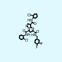 O=C(NCc1ccc(F)c(F)c1)c1cc(C(=O)Nc2ccccc2Cl)n2ncc(C(=O)Nc3ccccc3Cl)c2n1